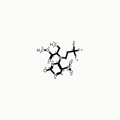 CCC(C(=O)OC)N(CCC(F)(F)F)c1nc(Cl)ncc1[N+](=O)[O-]